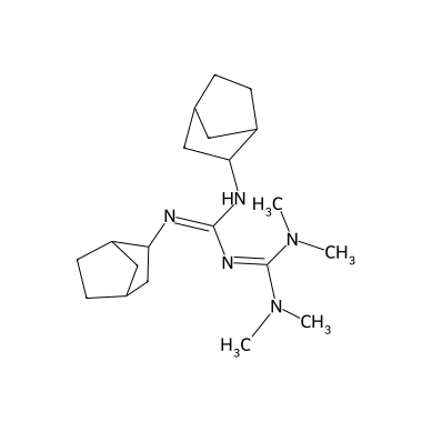 CN(C)C(=N/C(=N\C1CC2CCC1C2)NC1CC2CCC1C2)N(C)C